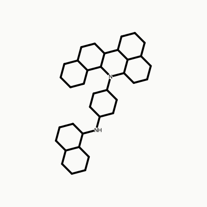 C1CCC2C(C1)CCCC2NC1CCC(N2C3CCCC4CCCC(C5CCC6CCCCC6C52)C43)CC1